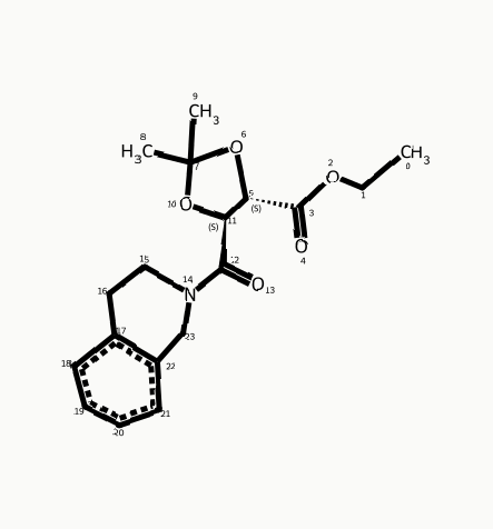 CCOC(=O)[C@H]1OC(C)(C)O[C@@H]1C(=O)N1CCc2ccccc2C1